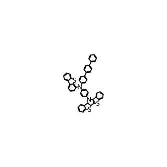 c1ccc(-c2ccc(-c3ccc(N(c4ccc(N5c6c(sc7ccccc67)C6Sc7ccccc7C65)cc4)c4cccc5c4sc4ccccc45)cc3)cc2)cc1